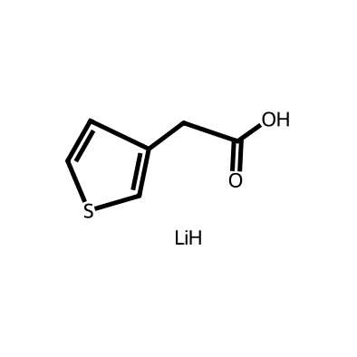 O=C(O)Cc1ccsc1.[LiH]